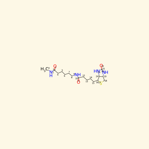 CNC(=O)CCCCCNC(=O)CCCCC1SCC2NC(=O)NC21